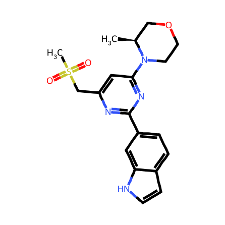 C[C@H]1COCCN1c1cc(CS(C)(=O)=O)nc(-c2ccc3cc[nH]c3c2)n1